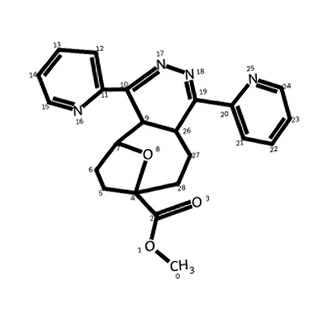 COC(=O)C12CCC(O1)C1C(c3ccccn3)=NN=C(c3ccccn3)C1CC2